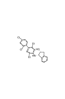 CCc1nc(-c2ccc(Cl)cc2Cl)c(CC)nc1N[C@H]1c2ccccc2C[C@H]1O